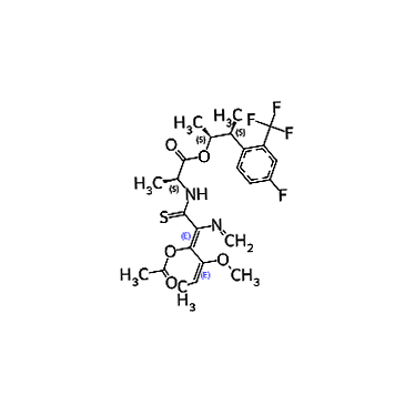 C=N/C(C(=S)N[C@@H](C)C(=O)O[C@@H](C)[C@@H](C)c1ccc(F)cc1C(F)(F)F)=C(OC(C)=O)\C(=C/C)OC